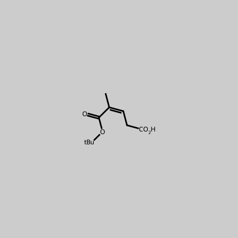 CC(=CCC(=O)O)C(=O)OC(C)(C)C